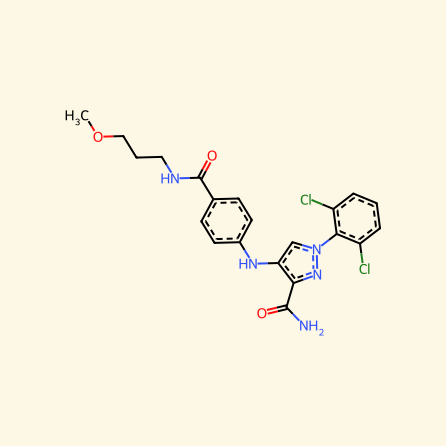 COCCCNC(=O)c1ccc(Nc2cn(-c3c(Cl)cccc3Cl)nc2C(N)=O)cc1